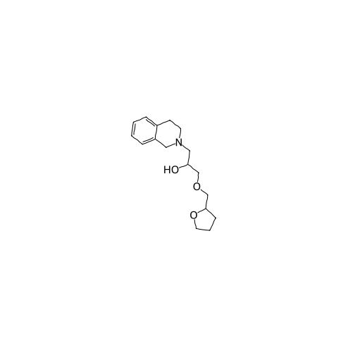 OC(COCC1CCCO1)CN1CCc2ccccc2C1